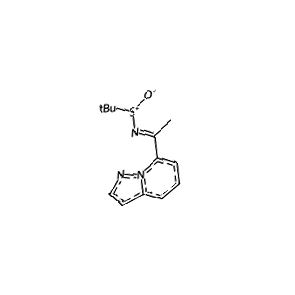 CC(=N[S+]([O-])C(C)(C)C)c1cccc2ccnn12